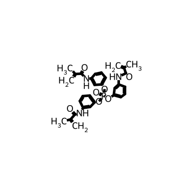 C=C(C)C(=O)Nc1cccc(OP(=O)(Oc2cccc(NC(=O)C(=C)C)c2)Oc2cccc(NC(=O)C(=C)C)c2)c1